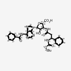 CC(C)(C)OC(=O)NC(CC(=O)N[C@H]1[C@@H](O)[C@H](n2cnc3c(NC(=O)c4ccccc4)ncnc32)O[C@@H]1C(=O)O)c1ccccc1